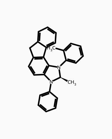 Cc1ccccc1N1c2c(ccc3c2-c2ccccc2C3)N(c2ccccc2)[C@@H]1C